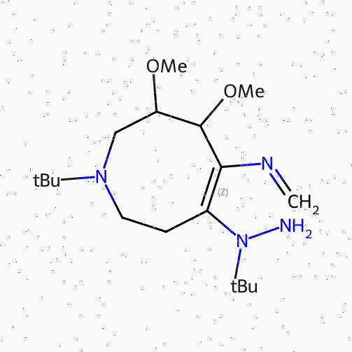 C=N/C1=C(\N(N)C(C)(C)C)CCN(C(C)(C)C)CC(OC)C1OC